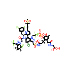 Cc1cc(CC(=O)NCC(=O)O)c(C(C)(C)CC(=O)NS(=O)(=O)Cc2nn(CC(F)(F)F)c3c(-c4ccc(C#CC(C)(C)S(C)(=O)=O)nc4[C@H](Cc4cc(F)cc(F)c4)NC(=O)Cn4nc(C(F)(F)F)c5c4C(F)(F)[C@@H]4C[C@H]54)ccc(Cl)c23)c(OP(=O)(O)O)c1